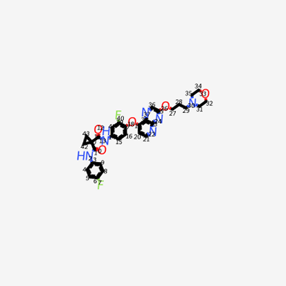 O=C(Nc1ccc(F)cc1)C1(C(=O)Nc2ccc(Oc3ccnc4nc(OCCCN5CCOCC5)cnc34)c(F)c2)CC1